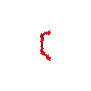 O=C(CCCCCCCCCCCCCCC(=O)OCOc1ccc2ccc(OCCCCN3CCN(c4cccc5sccc45)CC3)cc2n1)OCOc1ccc2ccc(OCCCCN3CCN(c4cccc5sccc45)CC3)cc2n1